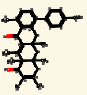 COc1ccc(-c2ccc(C)c3c2CC2(C)CC4(C)CC(C)=C(C(C)=O)C(=O)C4(C)C(C)=C2C3=O)cc1